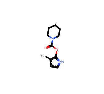 CC(C)(C)c1cc[nH]c1OC(=O)N1CCCCC1